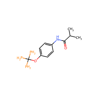 CC(C)C(=O)Nc1ccc(OC(P)(P)P)cc1